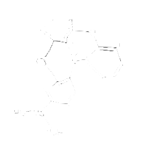 OB(O)c1ccc2c(c1)Oc1cccc3c1N2c1ccccc1O3